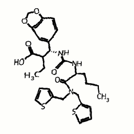 CCCC[C@H](NC(=O)N[C@@H](c1ccc2c(c1)OCO2)C(CC)C(=O)O)C(=O)N(Cc1cccs1)Cc1cccs1